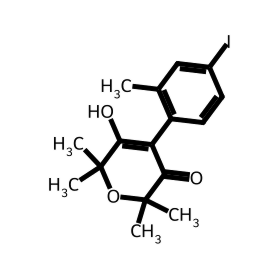 Cc1cc(I)ccc1C1=C(O)C(C)(C)OC(C)(C)C1=O